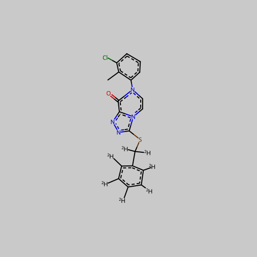 [2H]c1c([2H])c([2H])c(C([2H])([2H])Sc2nnc3c(=O)n(-c4cccc(Cl)c4C)ccn23)c([2H])c1[2H]